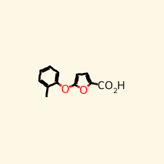 Cc1ccccc1Oc1ccc(C(=O)O)o1